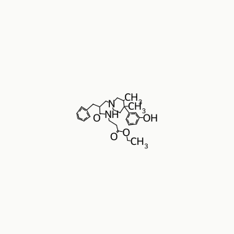 CCOC(=O)CCNC(=O)C(Cc1ccccc1)CN1CCC(C)(c2cccc(O)c2)C(C)C1